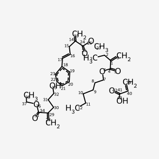 C=C(CC)C(=O)OCCCCCC.C=C(CC=Cc1ccccc1)C(=O)OC.C=C(CCCO)C(=O)OCC.C=CC(=O)O